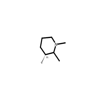 CC1[C@H](C)CCCN1C